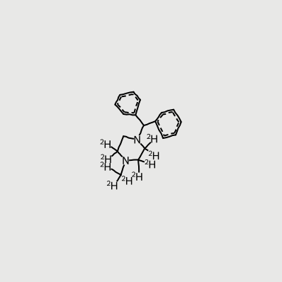 [2H]C([2H])([2H])N1C([2H])([2H])CN(C(c2ccccc2)c2ccccc2)C([2H])([2H])C1([2H])[2H]